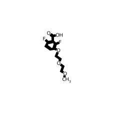 COCCOCCOc1ccc(F)c(C(=O)O)c1F